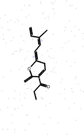 C=C/C(C)=C\C=C1/CC=C(C(=O)CC)C(=C)O1